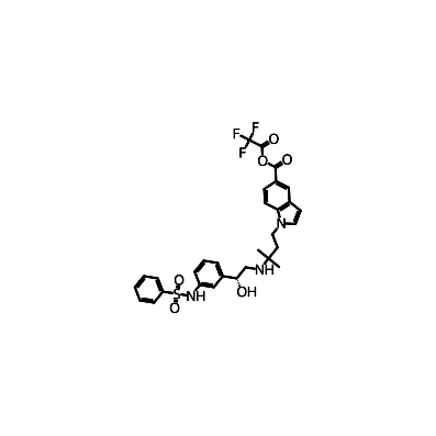 CC(C)(CCn1ccc2cc(C(=O)OC(=O)C(F)(F)F)ccc21)NC[C@H](O)c1cccc(NS(=O)(=O)c2ccccc2)c1